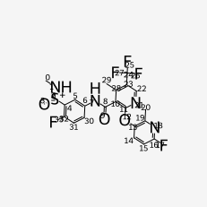 CN[S@@+]([O-])c1cc(NC(=O)c2c(Oc3ccc(F)nc3C)ncc(C(F)(F)F)c2C)ccc1F